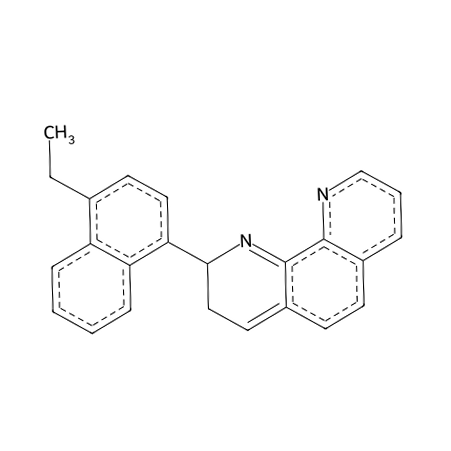 CCc1ccc(C2CC=c3ccc4cccnc4c3=N2)c2ccccc12